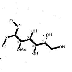 CCSC(SCC)[C@H](OC)[C@@H](O)[C@H](O)[C@H](O)CO